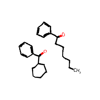 CCCCCCC(=O)c1ccccc1.O=C(c1ccccc1)C1CCCCC1